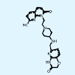 N#Cc1ccc2ccc(=O)n(CCN3CCC(NCc4ccc5c(n4)NC(=O)CO5)CC3)c2n1